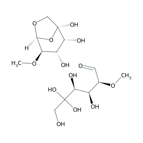 CO[C@H](C=O)[C@@H](O)[C@H](O)C(O)(O)CO.CO[C@H]1[C@H]2OC[C@](O)(O2)[C@H](O)[C@@H]1O